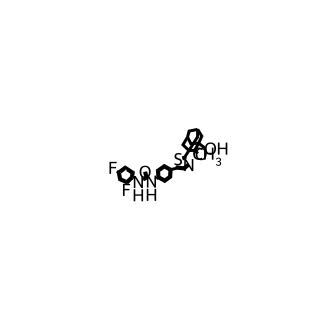 CC1C2(C(=O)O)CC3CC(C2)CC1(c1ncc(-c2ccc(NC(=O)Nc4ccc(F)cc4F)cc2)s1)C3